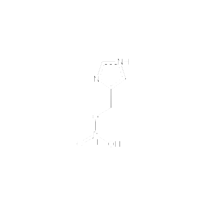 O=[PH](O)OCc1c[nH]cn1